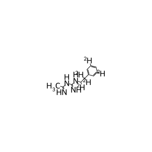 [2H]c1cc([2H])cc(C([2H])([2H])C([2H])NC(=N)NC(C)=N)c1